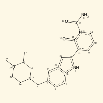 CC1CN(Cc2ccc3[nH]c(-c4c[c]cn(C(N)=O)c4=O)cc3c2)CCN1C